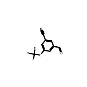 N#Cc1cc(C=O)cc(OC(F)(F)F)c1